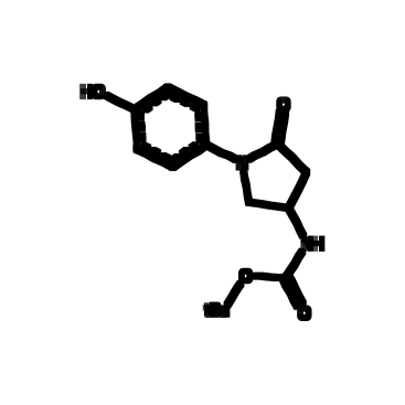 CC(C)(C)OC(=O)NC1CC(=O)N(c2ccc(O)cc2)C1